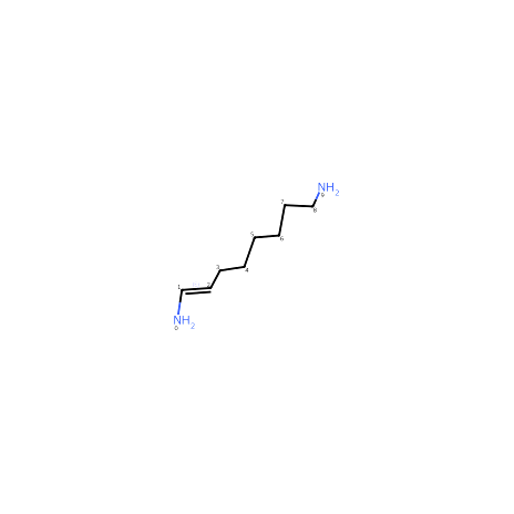 N/C=C/CCCCCCN